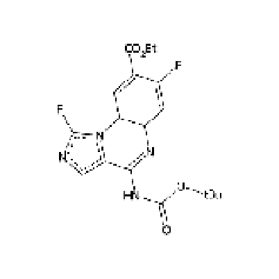 CCOC(=O)C1=CC2C(C=C1F)N=C(NC(=O)OC(C)(C)C)c1cnc(F)n12